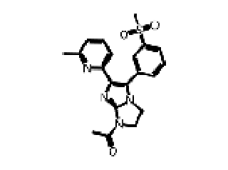 CC(=O)N1CCn2c1nc(-c1cccc(C)n1)c2-c1cccc(S(C)(=O)=O)c1